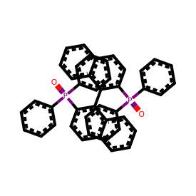 O=P(c1ccccc1)(c1ccccc1)c1ccc2ccccc2c1-c1c(P(=O)(c2ccccc2)c2ccccc2)ccc2ccccc12